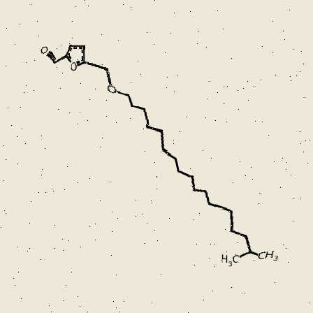 CC(C)CCCCCCCCCCCCCCCOCc1ccc(C=O)o1